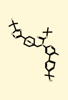 CC(C)(C)OC(=O)N(CC12CCC(c3noc(C(C)(C)F)n3)(CC1)CC2)c1cc(-c2ccc(C(C)(C)O)cc2)c(F)cn1